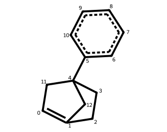 C1=C2CCC(c3ccccc3)(C1)C2